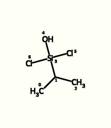 CC(C)[Si](O)(Cl)Cl